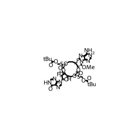 COC([C@@H]1OP(=O)(SCOC(=O)C(C)(C)C)OC[C@H]2O[C@@H](n3cnc4c(=O)[nH]cnc43)[C@H](F)[C@@H]2OP(=O)(SCOC(=O)C(C)(C)C)OCC[C@@H]1F)n1cnc2c(N)ncnc21